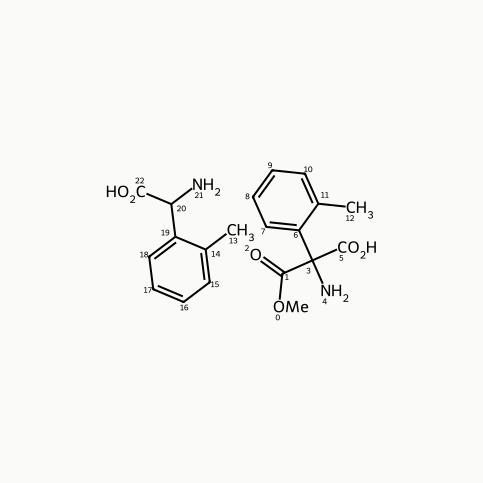 COC(=O)C(N)(C(=O)O)c1ccccc1C.Cc1ccccc1C(N)C(=O)O